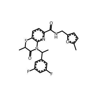 Cc1ccc(CNC(=O)c2ccc3c(n2)N(C(C)c2cc(F)cc(F)c2)C(=O)C(C)S3)o1